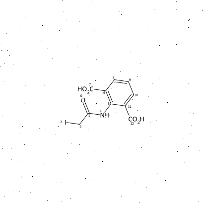 O=C(CI)Nc1c(C(=O)O)cccc1C(=O)O